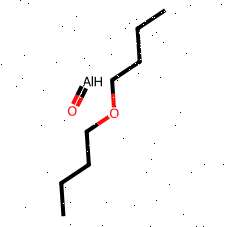 CCCCOCCCC.[O]=[AlH]